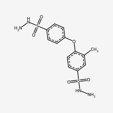 Cc1cc(S(=O)(=O)NN)ccc1Oc1ccc(S(=O)(=O)NN)cc1